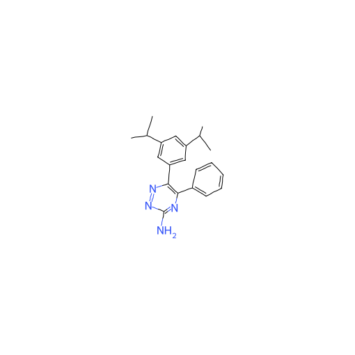 CC(C)c1cc(-c2nnc(N)nc2-c2ccccc2)cc(C(C)C)c1